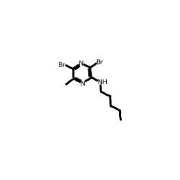 CCCCCNc1nc(C)c(Br)nc1Br